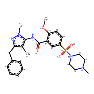 CCCn1nc(Cc2ccccc2)c(C#N)c1NC(=O)c1cc(S(=O)(=O)N2CCN(C)CC2)ccc1OCC